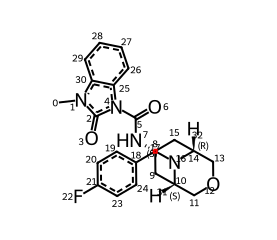 Cn1c(=O)n(C(=O)N[C@H]2C[C@H]3COC[C@@H](C2)N3Cc2ccc(F)cc2)c2ccccc21